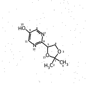 CC1(C)OCC(c2ncc(O)cn2)O1